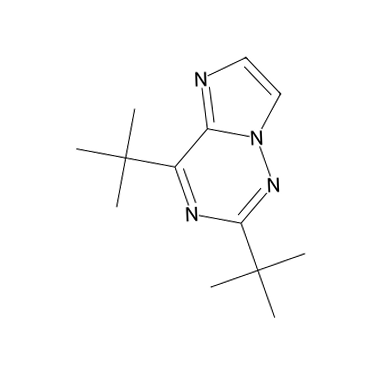 CC(C)(C)c1nc(C(C)(C)C)c2nccn2n1